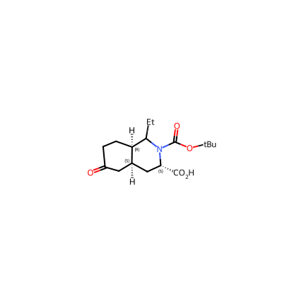 CCC1[C@@H]2CCC(=O)C[C@@H]2C[C@@H](C(=O)O)N1C(=O)OC(C)(C)C